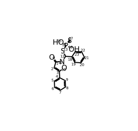 O=c1cc(-c2ccccc2)on1C(SP(O)(O)=S)c1ccccc1